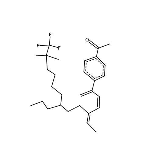 C=C(/C=C\C(=C/C)CCC(CCC)CCCCC(C)(C)C(F)(F)F)c1ccc(C(C)=O)cc1